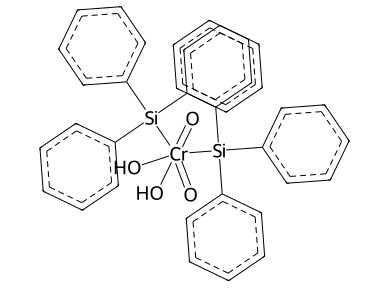 [O]=[Cr](=[O])([OH])([OH])([Si](c1ccccc1)(c1ccccc1)c1ccccc1)[Si](c1ccccc1)(c1ccccc1)c1ccccc1